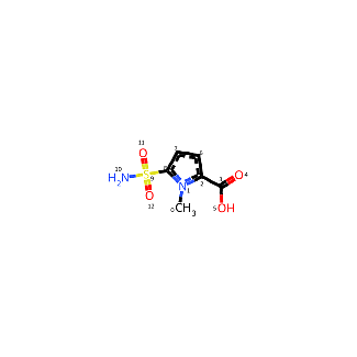 Cn1c(C(=O)O)ccc1S(N)(=O)=O